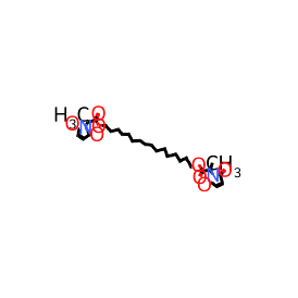 CC(C(=O)OCCCCCCCCCCCCCCCCOC(=O)C(C)N1C(=O)C=CC1=O)N1C(=O)C=CC1=O